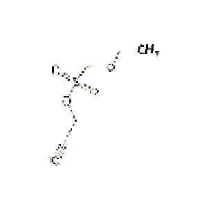 C#CCOS(=O)(=O)COCC